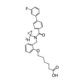 [2H]C1(N(Cc2ccccc2OCCCCCC(=O)O)C(=O)c2ccc(-c3cccc(F)c3)cc2)CC1